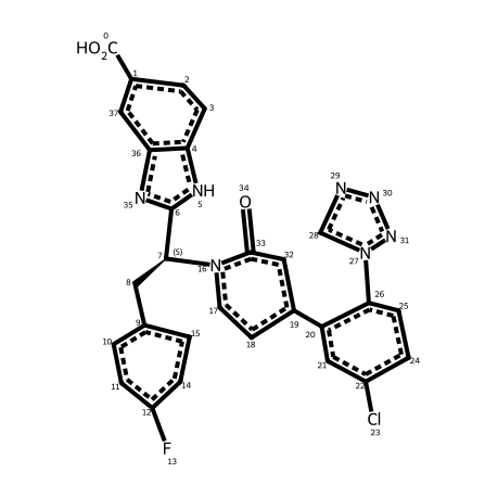 O=C(O)c1ccc2[nH]c([C@H](Cc3ccc(F)cc3)n3ccc(-c4cc(Cl)ccc4-n4cnnn4)cc3=O)nc2c1